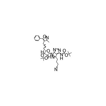 Cc1noc(-c2ccccc2)c1CSC[C@H]1O[C@@H](n2nc(CCCC#N)c3c(NC(=O)OC(C)(C)C)ncnc32)[C@@H]2OC(C)(C)O[C@@H]21